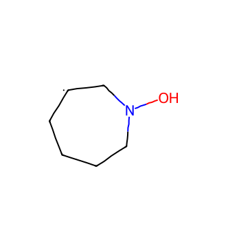 ON1C[CH]CCCC1